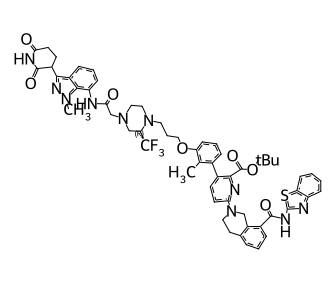 Cc1c(OCCCN2CCN(CC(=O)Nc3cccc4c(C5CCC(=O)NC5=O)nn(C)c34)C[C@@H]2C(F)(F)F)cccc1-c1ccc(N2CCc3cccc(C(=O)Nc4nc5ccccc5s4)c3C2)nc1C(=O)OC(C)(C)C